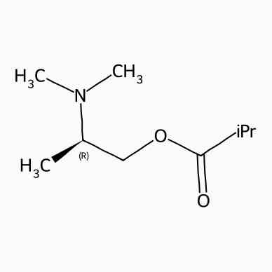 CC(C)C(=O)OC[C@@H](C)N(C)C